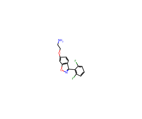 NCCOc1ccc2c(-c3c(F)cccc3F)noc2c1